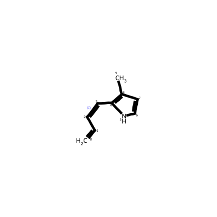 C=C/C=C\c1[nH]ccc1C